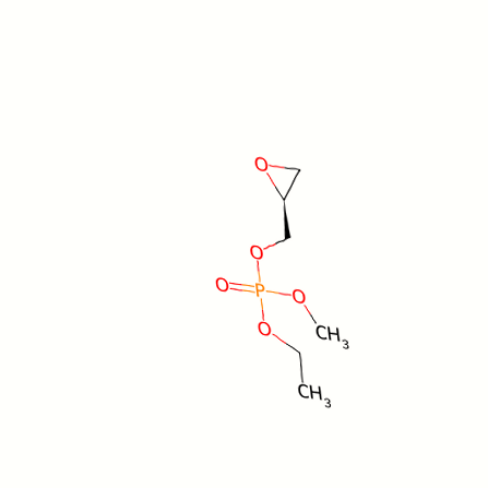 CCOP(=O)(OC)OC[C@@H]1CO1